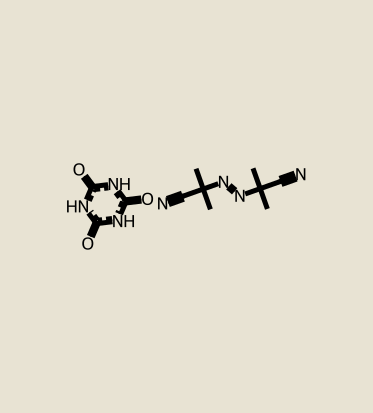 CC(C)(C#N)/N=N/C(C)(C)C#N.O=c1[nH]c(=O)[nH]c(=O)[nH]1